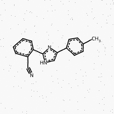 Cc1ccc(-c2c[nH]c(-c3ccccc3C#N)n2)cc1